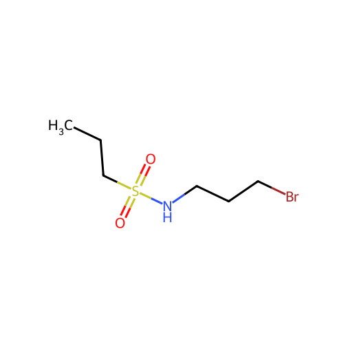 CCCS(=O)(=O)NCCCBr